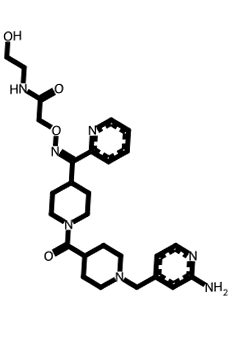 Nc1cc(CN2CCC(C(=O)N3CCC(/C(=N/OCC(=O)NCCO)c4ccccn4)CC3)CC2)ccn1